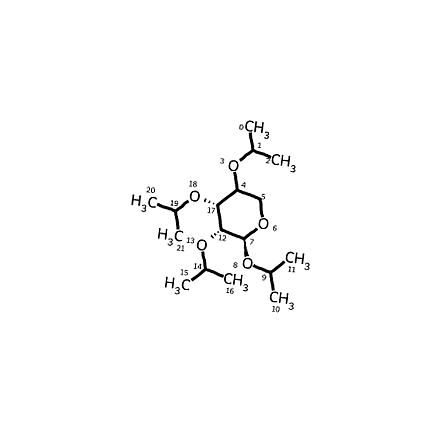 CC(C)OC1CO[C@@H](OC(C)C)[C@H](OC(C)C)[C@@H]1OC(C)C